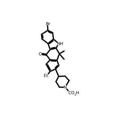 CCc1cc2c(cc1C1CCN(C(=O)O)CC1)C(C)(C)c1[nH]c3cc(Br)ccc3c1C2=O